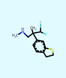 CNCC(C)(c1ccc2c(c1)SCC2)C(F)F